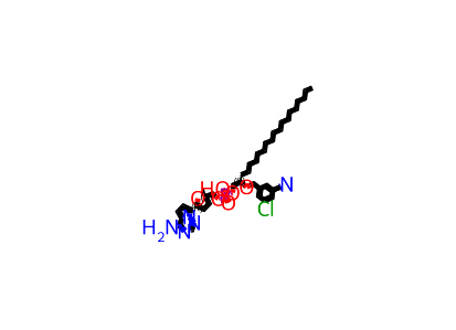 CCCCCCCCCCCCCCCCCC[C@H](COP(=O)(O)OC[C@]1(C)CC[C@H](c2ccc3c(N)ncnn23)O1)OCc1cc(Cl)cc(C#N)c1